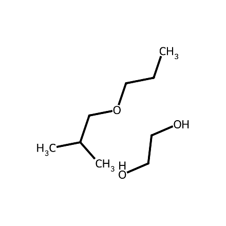 CCCOCC(C)C.OCCO